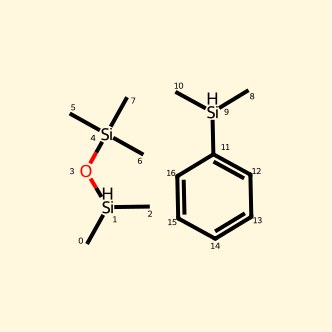 C[SiH](C)O[Si](C)(C)C.C[SiH](C)c1ccccc1